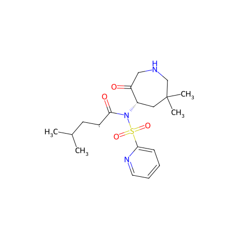 CC(C)C[CH]C(=O)N([C@H]1CC(C)(C)CNCC1=O)S(=O)(=O)c1ccccn1